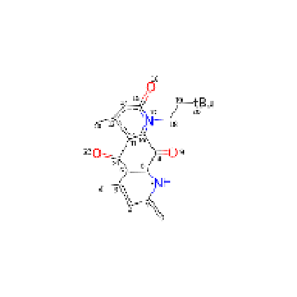 C=C1C=C(C)C2=C(N1)C(=O)c1c(c(C)cc(=O)n1CCC(C)(C)C)C2=O